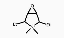 CCC1C2OC2C(CC)[N+]1(C)C